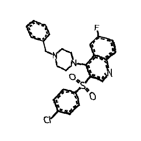 O=S(=O)(c1ccc(Cl)cc1)c1cnc2ccc(F)cc2c1N1CCN(Cc2ccccc2)CC1